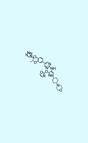 C[C@@H](Cn1cnnn1)Oc1cc(-c2cnc(Nc3cn([C@H]4CC[C@H](N5CCOCC5)CC4)nc3Oc3ncco3)nc2)ccc1Cl